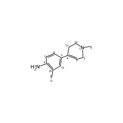 CN1CC=C(c2ccc(N)c(F)c2)CC1